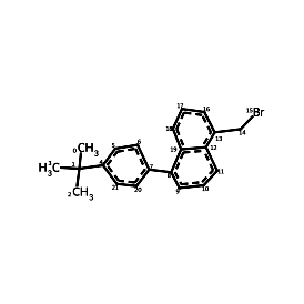 CC(C)(C)c1ccc(-c2cccc3c(CBr)cccc23)cc1